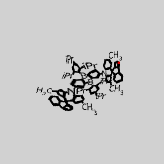 Cc1ccc2c(c1)C1(c3ccccc3-c3ccccc31)c1cc(C)ccc1N2c1ccc2c(c1)B(c1c(C(C)C)cc(C(C)C)cc1C(C)C)c1cc(N3c4ccc(C)cc4C4(c5ccccc5-c5ccccc54)c4cc(C)ccc43)ccc1B2c1c(C(C)C)cc(C(C)C)cc1C(C)C